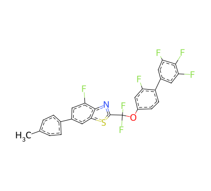 Cc1ccc(-c2cc(F)c3nc(C(F)(F)Oc4ccc(-c5cc(F)c(F)c(F)c5)c(F)c4)sc3c2)cc1